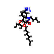 CC=C(CC)Oc1c(OCCCCCCCC)c(=O)n(CCCC)c2cc(N)ccc12